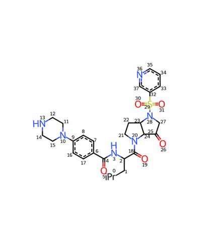 CC(C)CC(NC(=O)c1ccc(N2CCNCC2)cc1)C(=O)N1CCC2C1C(=O)CN2S(=O)(=O)c1cccnc1